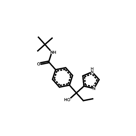 CCC(O)(c1ccc(C(=O)NC(C)(C)C)cc1)c1c[nH]cn1